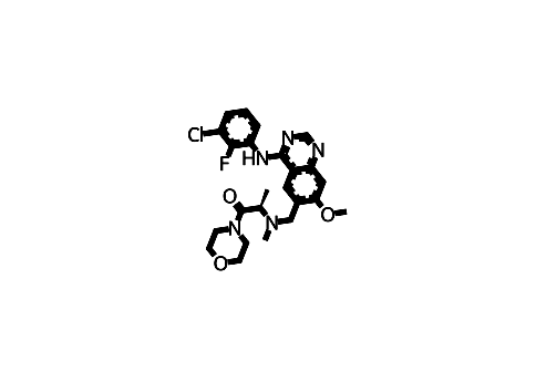 COc1cc2ncnc(Nc3cccc(Cl)c3F)c2cc1CN(C)[C@H](C)C(=O)N1CCOCC1